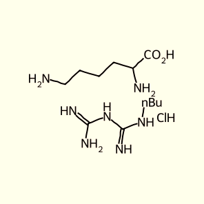 CCCCNC(=N)NC(=N)N.Cl.NCCCCC(N)C(=O)O